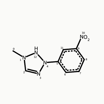 CN1C=NN(c2cccc([N+](=O)[O-])c2)N1